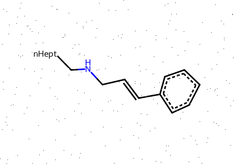 CCCCCCCCNCC=Cc1ccccc1